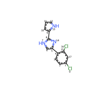 Clc1ccc(-c2c[nH]c(-c3ccc[nH]3)n2)c(Cl)c1